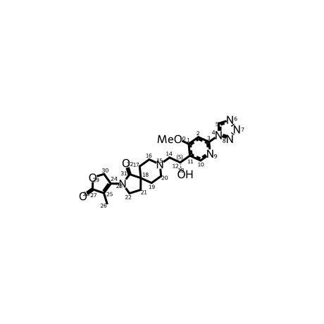 COc1cc(-n2cnnn2)ncc1[C@H](O)CN1CCC2(CC1)CCN(C1=C(C)C(=O)OC1)C2=O